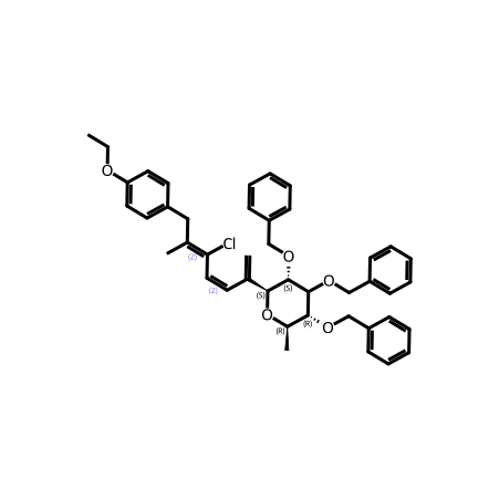 C=C(/C=C\C(Cl)=C(/C)Cc1ccc(OCC)cc1)[C@@H]1O[C@H](C)[C@@H](OCc2ccccc2)C(OCc2ccccc2)[C@H]1OCc1ccccc1